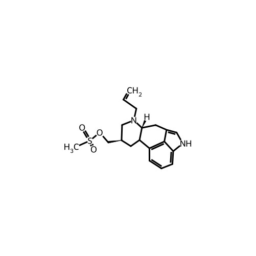 C=CCN1C[C@H](COS(C)(=O)=O)CC2c3cccc4[nH]cc(c34)C[C@H]21